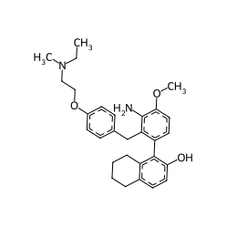 CCN(C)CCOc1ccc(Cc2c(-c3c(O)ccc4c3CCCC4)ccc(OC)c2N)cc1